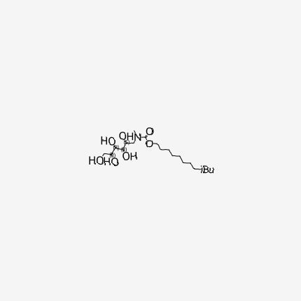 CCC(C)CCCCCCCCOC(=O)N(C)C[C@H](O)[C@@H](O)[C@H](O)[C@H](O)CO